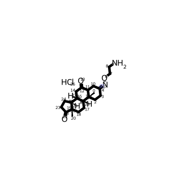 C[C@]12CC/C(=N/OCCN)CC1C(=O)C[C@@H]1[C@H]2CC[C@]2(C)C(=O)CC[C@@H]12.Cl